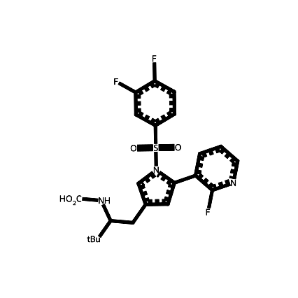 CC(C)(C)C(Cc1cc(-c2cccnc2F)n(S(=O)(=O)c2ccc(F)c(F)c2)c1)NC(=O)O